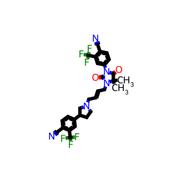 CC1(C)C(=O)N(c2ccc(C#N)c(C(F)(F)F)c2)C(=O)N1CC=CCN1CCC(c2ccc(C#N)c(C(F)(F)F)c2)C1